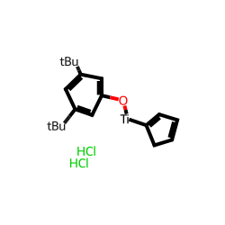 CC(C)(C)c1cc([O][Ti][C]2=CC=CC2)cc(C(C)(C)C)c1.Cl.Cl